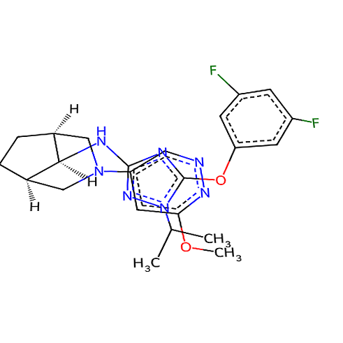 COc1cc(N2C[C@H]3CC[C@@H](C2)[C@H]3Nc2nc(Oc3cc(F)cc(F)c3)n(C(C)C)n2)cnn1